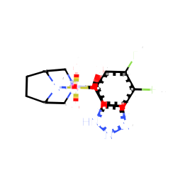 O=C(c1cnn[nH]1)N1CC2CCC(C1)N2S(=O)(=O)c1ccc(F)c(F)c1